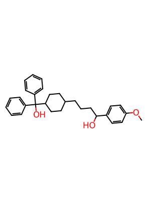 COc1ccc(C(O)CCCC2CCC(C(O)(c3ccccc3)c3ccccc3)CC2)cc1